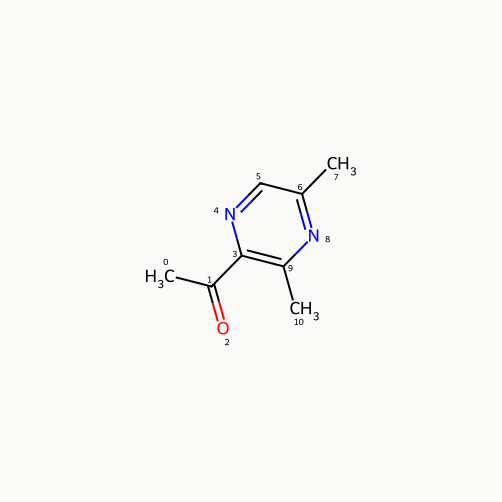 CC(=O)c1ncc(C)nc1C